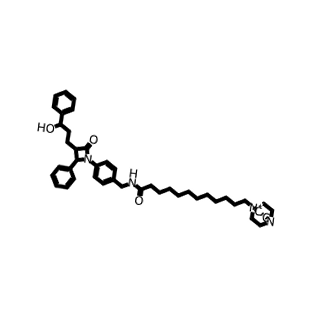 O=C(CCCCCCCCCCC[N+]12CCN(CC1)CC2)NCc1ccc(N2C(=O)C(CCC(O)c3ccccc3)C2c2ccccc2)cc1